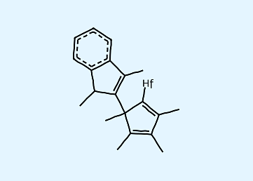 CC1=C(C)C(C)(C2=C(C)c3ccccc3C2C)[C]([Hf])=C1C